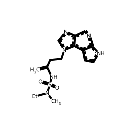 C=C(CCn1cnc2cnc3[nH]ccc3c21)NS(=O)(=O)N(C)CC